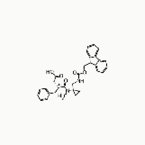 CN(C(=O)[C@@H](CC(=O)O)Cc1ccccc1)C1(CNC(=O)OCC2c3ccccc3-c3ccccc32)CC1